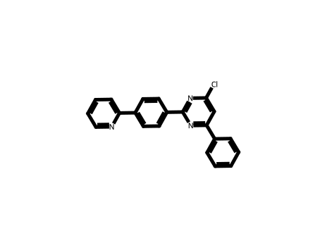 Clc1cc(-c2ccccc2)nc(-c2ccc(-c3ccccn3)cc2)n1